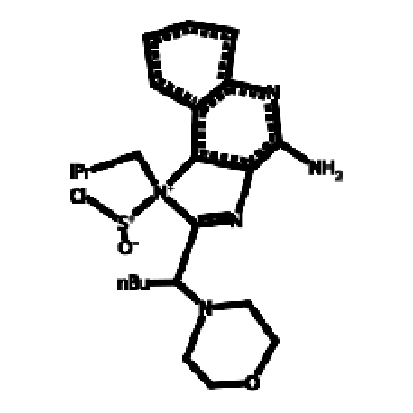 CCCCC(C1=Nc2c(N)nc3ccccc3c2[N+]1(CC(C)C)[S+]([O-])Cl)N1CCOCC1